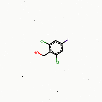 OCc1c(Cl)cc(I)cc1Cl